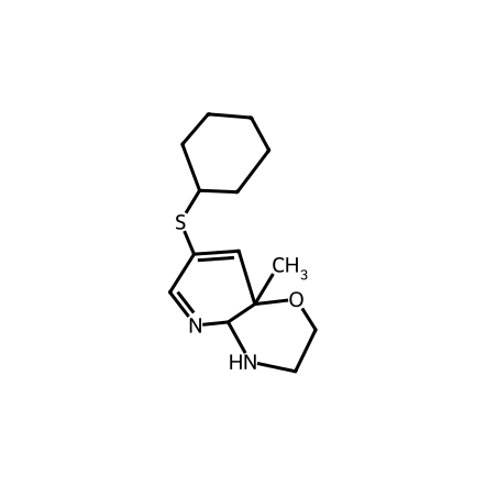 CC12C=C(SC3CCCCC3)C=NC1NCCO2